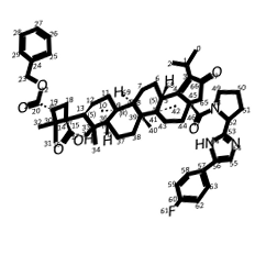 CC(C)C1=C2[C@H]3CC[C@@H]4[C@]5(C)CC[C@H]([C@@]6(C(=O)O)C[C@@H](C(=O)OCc7ccccc7)C6(C)C)C(C)(C)[C@H]5CC[C@@]4(C)[C@]3(C)CC[C@@]2(C(=O)N2CCCC2c2ncc(-c3ccc(F)cc3)[nH]2)CC1=O